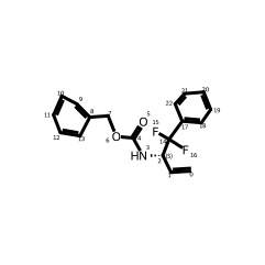 C=C[C@H](NC(=O)OCc1ccccc1)C(F)(F)c1ccccc1